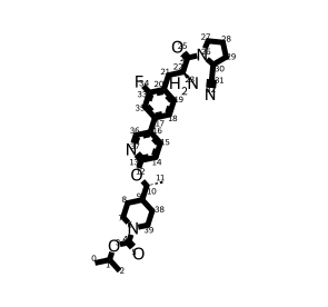 CC(C)OC(=O)N1CCC([C@@H](C)Oc2ccc(-c3ccc(C[C@H](N)C(=O)N4CCCC4C#N)c(F)c3)cn2)CC1